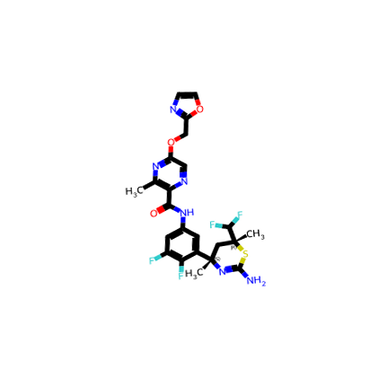 Cc1nc(OCc2ncco2)cnc1C(=O)Nc1cc(F)c(F)c([C@]2(C)C[C@](C)(C(F)F)SC(N)=N2)c1